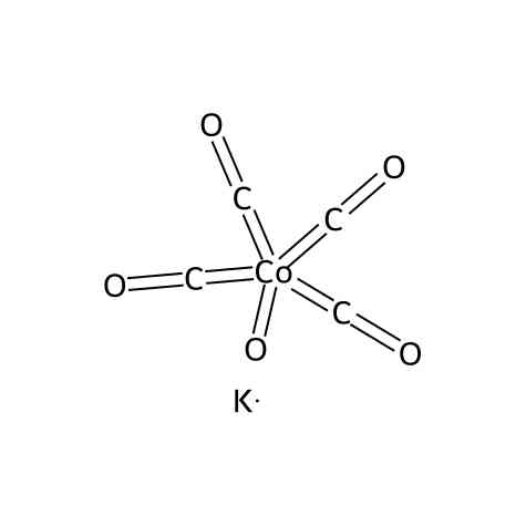 O=[C]=[Co](=[O])(=[C]=O)(=[C]=O)=[C]=O.[K]